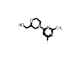 Cc1nc(I)cc(N2CCOC(CO)C2)n1